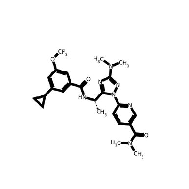 C[C@H](NC(=O)c1cc(OC(F)(F)F)cc(C2CC2)c1)c1nc(N(C)C)nn1-c1ccc(C(=O)N(C)C)cn1